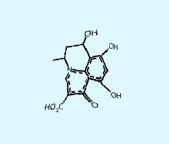 CC1CC(O)c2c(O)cc(O)c3c(=O)c(C(=O)O)cn1c23